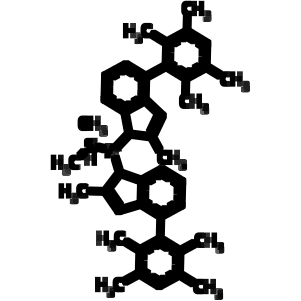 CC1=Cc2c(-c3c(C)c(C)cc(C)c3C)cccc2[CH]1[Zr]([CH]1C(C)=Cc2c(-c3c(C)c(C)cc(C)c3C)cccc21)[SiH](C)C